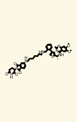 COc1cc2nc(C)nc(N[C@H](C)c3cc(-c4ccccc4CNCCCCCCCNc4ccc5c(c4)C(=O)N(C4CCC(=O)NC4=O)C5=O)cs3)c2cc1OC